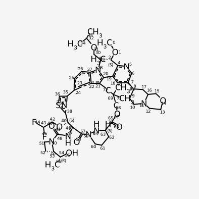 CO[C@@H](C)c1ncc([C@@H]2CCN3CCOCC3C2)cc1-c1c2c3cc(ccc3n1CCOC(C)C)-c1csc(n1)[C@@H](OCC(F)F)[C@H](NC(=O)N1CC[C@H]1[C@@H](C)O)C(=O)N1CCC[C@H](N1)C(=O)OCC(C)(C)C2